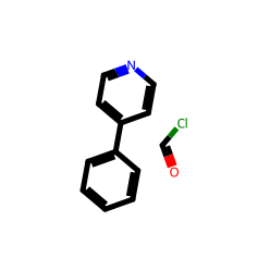 O=CCl.c1ccc(-c2ccncc2)cc1